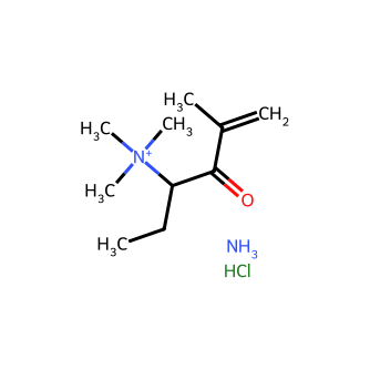 C=C(C)C(=O)C(CC)[N+](C)(C)C.Cl.N